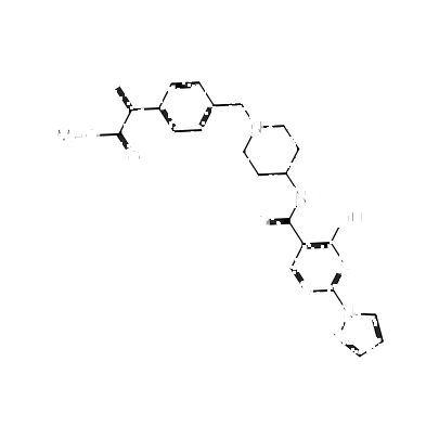 C=C(C(=O)OC)c1ccc(CN2CCC(NC(=O)c3cnc(-n4cccn4)nc3O)CC2)cc1